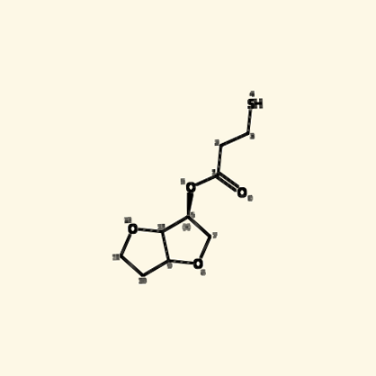 O=C(CCS)O[C@H]1COC2CCOC21